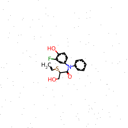 C=CSC(CO)C(=O)N(c1ccccc1)c1ccc(O)c(F)c1